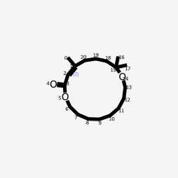 C/C1=C/C(=O)OCCCCCCCCOC(C)(C)CCC1